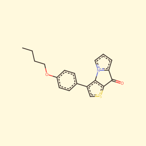 CCCCOc1ccc(-c2csc3c2-n2cccc2C3=O)cc1